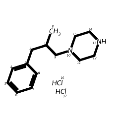 CC(Cc1ccccc1)CN1CCNCC1.Cl.Cl